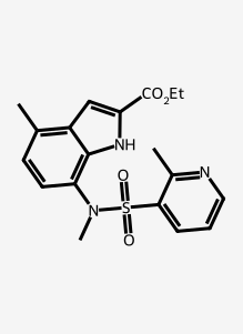 CCOC(=O)c1cc2c(C)ccc(N(C)S(=O)(=O)c3cccnc3C)c2[nH]1